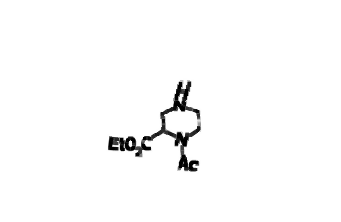 CCOC(=O)C1CNCCN1C(C)=O